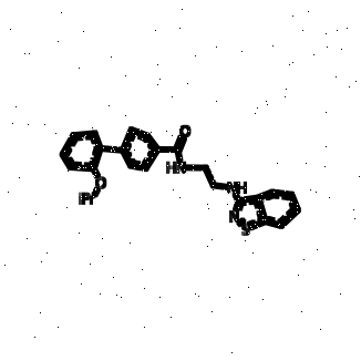 CC(C)Oc1ccccc1-c1ccc(C(=O)NCCNc2nsc3ccccc23)cc1